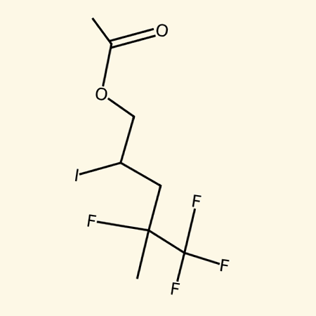 CC(=O)OCC(I)CC(C)(F)C(F)(F)F